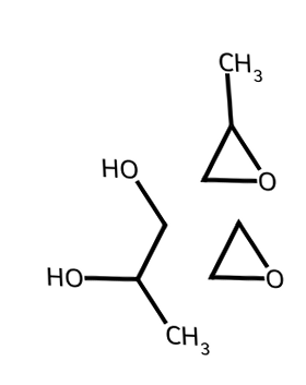 C1CO1.CC(O)CO.CC1CO1